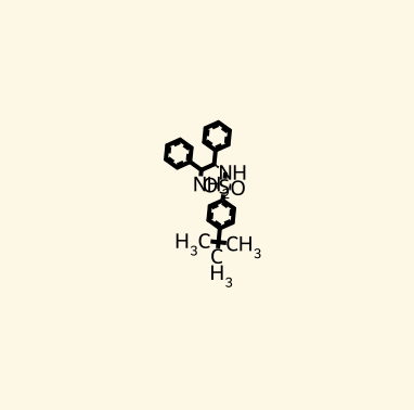 CC(C)(C)c1ccc(S(=O)(=O)N[C@@H](c2ccccc2)C(N)c2ccccc2)cc1